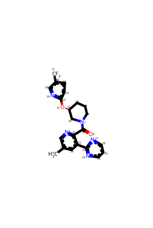 Cc1cnc(C(=O)N2CCC[C@@H](Oc3ccc(C(F)(F)F)cn3)C2)c(-c2ncccn2)c1